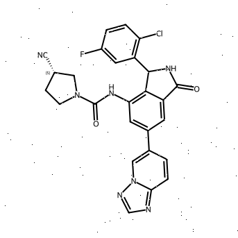 N#C[C@H]1CCN(C(=O)Nc2cc(-c3ccc4ncnn4c3)cc3c2C(c2cc(F)ccc2Cl)NC3=O)C1